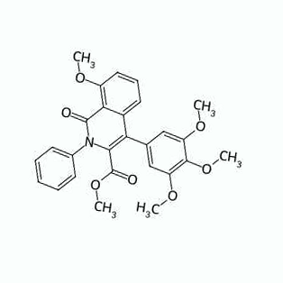 COC(=O)c1c(-c2cc(OC)c(OC)c(OC)c2)c2cccc(OC)c2c(=O)n1-c1ccccc1